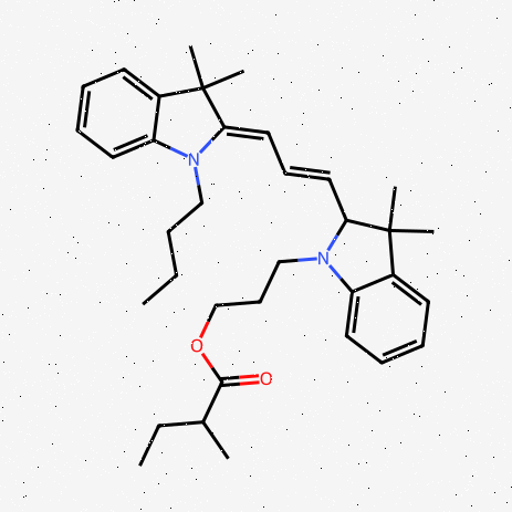 CCCCN1C(=CC=CC2N(CCCOC(=O)C(C)CC)c3ccccc3C2(C)C)C(C)(C)c2ccccc21